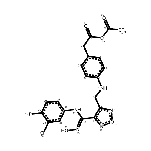 O=C(Cc1ccc(NCc2nonc2C(=NO)Nc2ccc(F)c(Cl)c2)cc1)OC(=O)C(F)(F)F